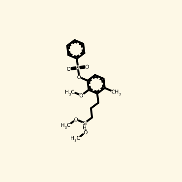 COc1c(OS(=O)(=O)c2ccccc2)ccc(C)c1CCC[SiH](OC)OC